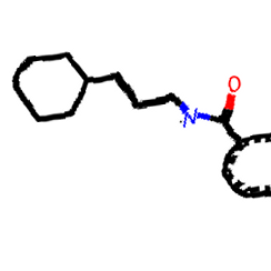 O=C([N]CCCC1CCCCC1)c1ccccc1